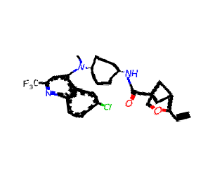 C=CC1=C2CC(C(=O)N[C@H]3CC[C@@H](N(C)c4cc(C(F)(F)F)nc5ccc(Cl)cc45)CC3)(CO1)C2